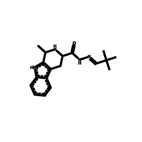 CC1NC(C(=O)N/N=C/C(C)(C)C)Cc2c1[nH]c1ccccc21